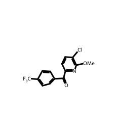 COc1nc(C(=O)c2ccc(C(F)(F)F)cc2)ccc1Cl